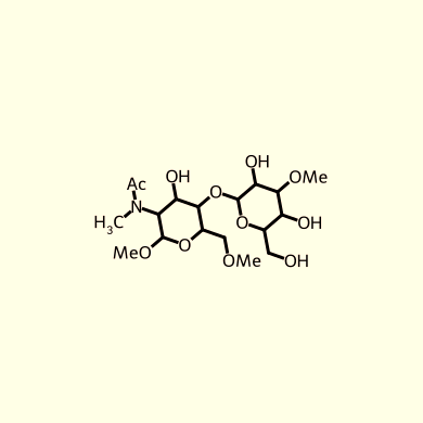 COCC1OC(OC)C(N(C)C(C)=O)C(O)C1OC1OC(CO)C(O)C(OC)C1O